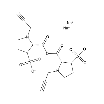 C#CCN1CCC(S(=O)(=O)[O-])[C@H]1C(=O)OC(=O)[C@@H]1C(S(=O)(=O)[O-])CCN1CC#C.[Na+].[Na+]